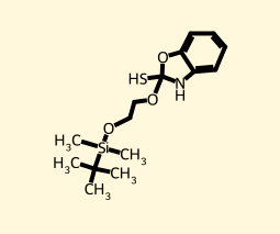 CC(C)(C)[Si](C)(C)OCCOC1(S)Nc2ccccc2O1